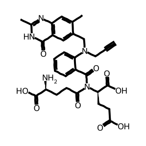 C#CCN(Cc1cc2c(=O)[nH]c(C)nc2cc1C)c1ccccc1C(=O)N(C(=O)CC[C@H](N)C(=O)O)[C@H](CCC(=O)O)C(=O)O